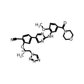 COc1ccc(C(=O)N2CCOCC2)cc1Nc1ncc(-c2ccc(C#N)c(O[C@@H](C)Cn3cnnn3)c2)cn1